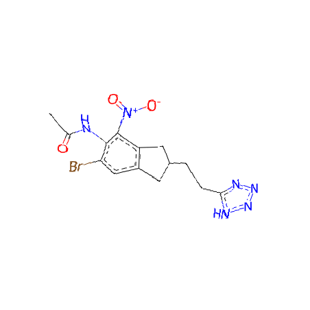 CC(=O)Nc1c(Br)cc2c(c1[N+](=O)[O-])CC(CCc1nnn[nH]1)C2